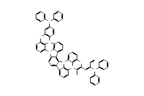 C=C/C(=C\C1=C(C)B2c3c(cccc3-n3c4c2cccc4c2ccc4c(c5cccc6c5n4-c4cccc5c4B6c4ccc(N(c6ccccc6)c6ccccc6)cc4S5)c23)S1)N(c1ccccc1)c1ccccc1